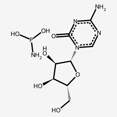 NP(O)O.Nc1ncn([C@@H]2O[C@H](CO)[C@@H](O)[C@H]2O)c(=O)n1